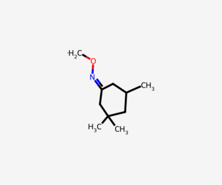 [CH2]ON=C1CC(C)CC(C)(C)C1